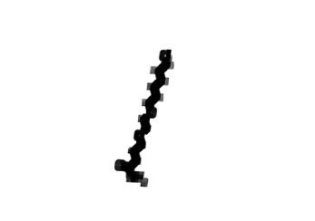 NC(=O)CCCOCCOCCCCCCCl